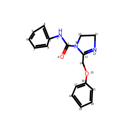 O=C(Nc1ccccc1)N1CCN=C1COc1ccccc1